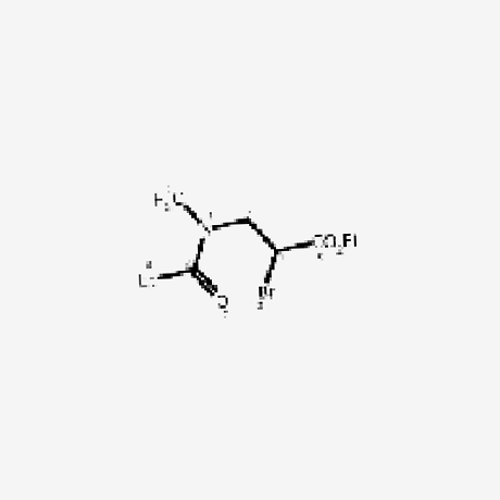 CCOC(=O)C(Br)CN(C)C(=O)CC